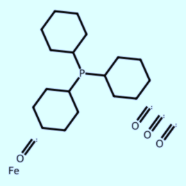 C1CCC(P(C2CCCCC2)C2CCCCC2)CC1.[C]=O.[C]=O.[C]=O.[C]=O.[Fe]